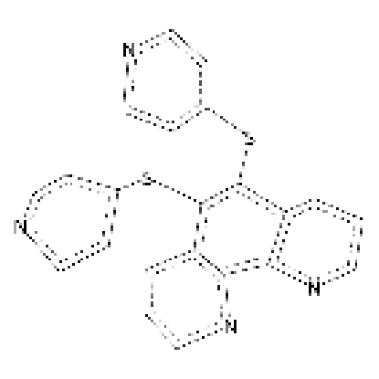 c1cnc2c(c1)c(Sc1ccncc1)c(Sc1ccncc1)c1cccnc12